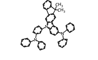 CC1(C)c2ccccc2-c2cc3c(cc21)c1cc(N(c2ccccc2)c2ccccc2)ccc1n3-c1cccc(N(c2ccccc2)c2ccccc2)c1